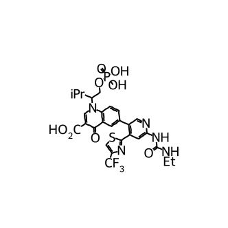 CCNC(=O)Nc1cc(-c2nc(C(F)(F)F)cs2)c(-c2ccc3c(c2)c(=O)c(C(=O)O)cn3C(COP(=O)(O)O)C(C)C)cn1